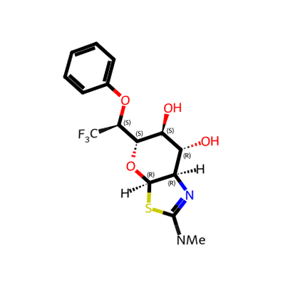 CNC1=N[C@@H]2[C@@H](O)[C@H](O)[C@@H]([C@H](Oc3ccccc3)C(F)(F)F)O[C@@H]2S1